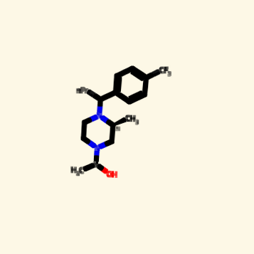 CCCC(c1ccc(C(F)(F)F)cc1)N1CCN(B(C)O)C[C@@H]1C